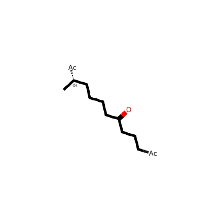 CC(=O)CCCC(=O)CCCC[C@H](C)C(C)=O